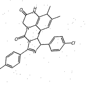 CC1=CC2(C)C3=C(NC(=O)CN3C(=O)N3C(c4ccc(Cl)cc4)=NC(c4ccc(Cl)cc4)C32)C1C